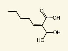 CCCCC=C(C(=O)O)C(O)O